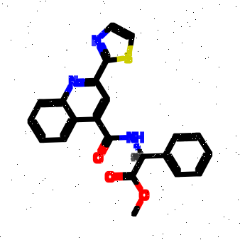 COC(=O)[C@H](NC(=O)c1cc(-c2nccs2)nc2ccccc12)c1ccccc1